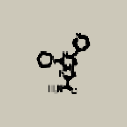 NC(=O)c1cn2cc(-c3cccnc3)nc(N3CCCCC3)c2n1